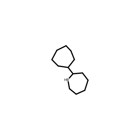 B1CCCCCC1C1CCCCCC1